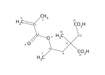 C=C(C)C(=O)OC(C)CC(C)(CC(=O)O)C(=O)O